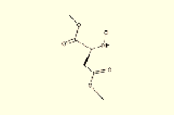 COC(=O)C[C@H](NCl)C(=O)OC